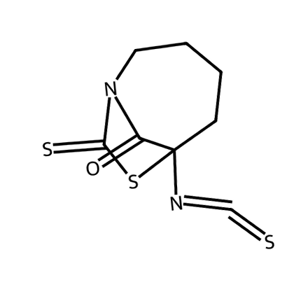 O=C1N2CCCCC1(N=C=S)SC2=S